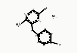 N.Nc1ncc(Br)nc1Cc1ccc(F)cc1